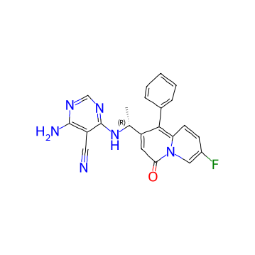 C[C@@H](Nc1ncnc(N)c1C#N)c1cc(=O)n2cc(F)ccc2c1-c1ccccc1